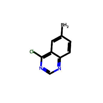 Bc1ccc2ncnc(Cl)c2c1